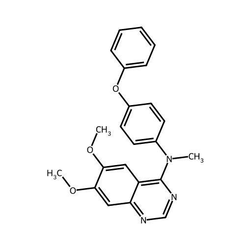 COc1cc2ncnc(N(C)c3ccc(Oc4ccccc4)cc3)c2cc1OC